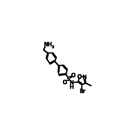 Cc1noc(NS(=O)(=O)c2ccc(-c3ccc(CN)cc3)cc2)c1Br